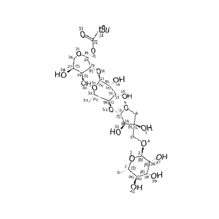 C[C@@H]1O[C@@H](OC[C@@]2(O)CO[C@@H](O[C@@H]3[C@@H](O)[C@@H](O)[C@H](O[C@H]4[C@@H](OC(=O)C(C)(C)C)OC[C@H](O)[C@@H]4O)O[C@H]3C)[C@@H]2O)[C@H](O)[C@H](O)[C@H]1O